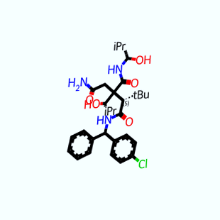 CC(C)C(O)NC(=O)C(CC(N)=O)(C(O)C(C)C)[C@@H](C(=O)NC(c1ccccc1)c1ccc(Cl)cc1)C(C)(C)C